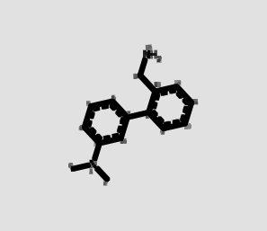 CN(C)c1[c]ccc(-c2ccccc2CN)c1